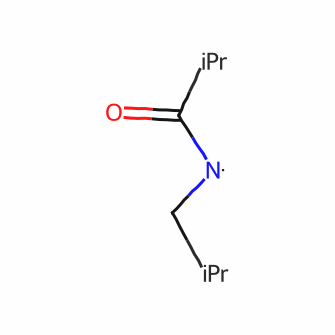 CC(C)C[N]C(=O)C(C)C